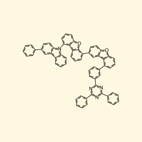 c1ccc(-c2ccc3c(c2)c2ccccc2n3-c2cccc3oc4c(-c5ccc6oc7cccc(-c8cccc(-c9nc(-c%10ccccc%10)nc(-c%10ccccc%10)n9)c8)c7c6c5)cccc4c23)cc1